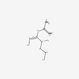 C/C=C(/CC(=N)N)C(C)CCC